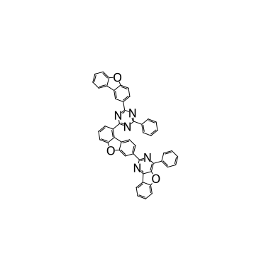 c1ccc(-c2nc(-c3ccc4oc5ccccc5c4c3)nc(-c3cccc4oc5cc(-c6nc(-c7ccccc7)c7oc8ccccc8c7n6)ccc5c34)n2)cc1